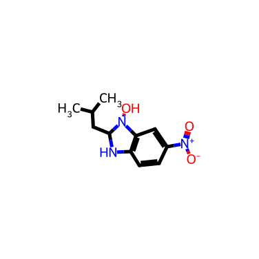 CC(C)CC1Nc2ccc([N+](=O)[O-])cc2N1O